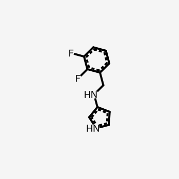 Fc1cccc(CNc2cc[nH]c2)c1F